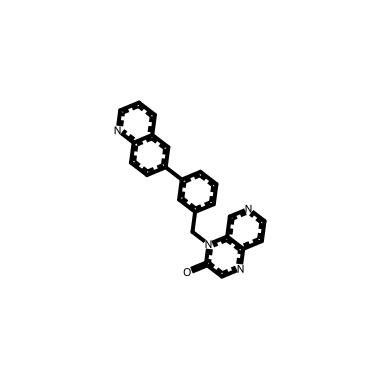 O=c1cnc2ccncc2n1Cc1cccc(-c2ccc3ncccc3c2)c1